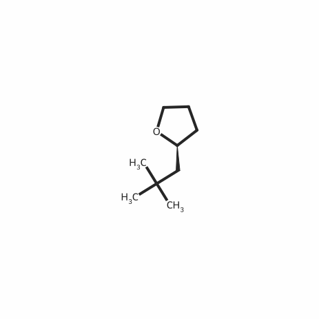 CC(C)(C)C[C@@H]1CCCO1